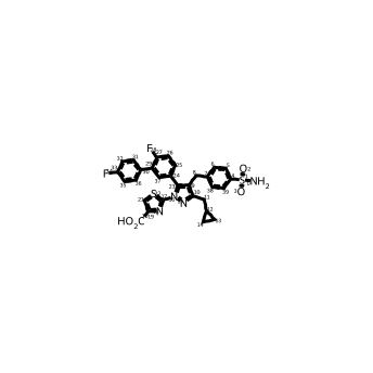 NS(=O)(=O)c1ccc(Cc2c(CC3CC3)nn(-c3nc(C(=O)O)cs3)c2-c2ccc(F)c(-c3ccc(F)cc3)c2)cc1